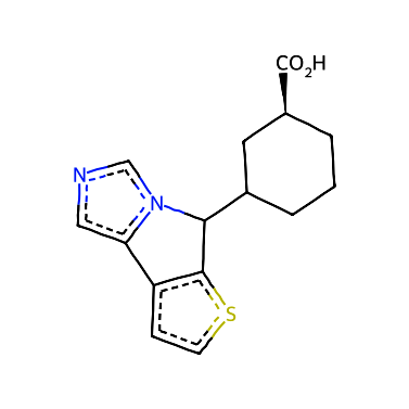 O=C(O)[C@H]1CCCC(C2c3sccc3-c3cncn32)C1